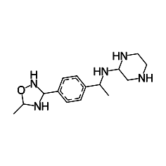 CC1NC(c2ccc(C(C)NC3CNCCN3)cc2)NO1